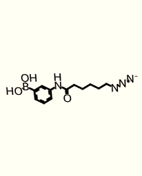 [N-]=[N+]=NCCCCCC(=O)Nc1cccc(B(O)O)c1